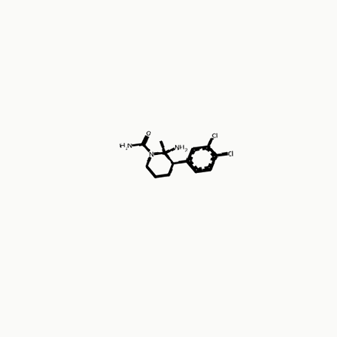 CC1(N)C(c2ccc(Cl)c(Cl)c2)CCCN1C(N)=O